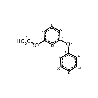 O=C(O)Oc1cccc(Oc2ccccc2)c1